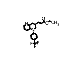 CCOC(=O)/C=C/C1Cc2ncccc2N(c2ccc(C(F)(F)F)cc2)C1